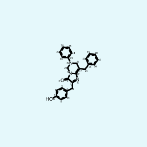 O=C1C(Cc2ccc(O)cc2)=NC2=C(Cc3ccccc3)CN(c3ccccc3)CN12